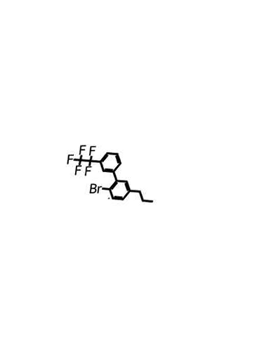 CCCc1c[c]c(Br)c(-c2cccc(C(F)(F)C(F)(F)F)c2)c1